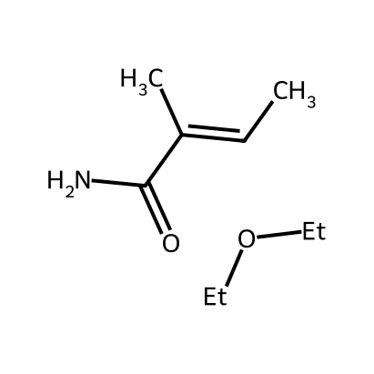 C/C=C(\C)C(N)=O.CCOCC